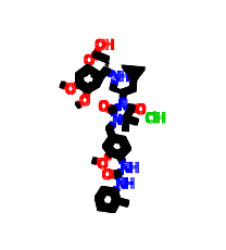 COc1cc(CN2C(=O)N([C@@H](CN[C@@H](CC(=O)O)c3ccc(OC)c(OC)c3)CC3CC3)C(=O)C2(C)C)ccc1NC(=O)Nc1ccccc1C.Cl